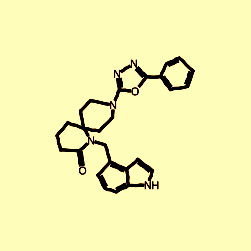 O=C1CCCC2(CCN(c3nnc(-c4ccccc4)o3)CC2)N1Cc1cccc2[nH]ccc12